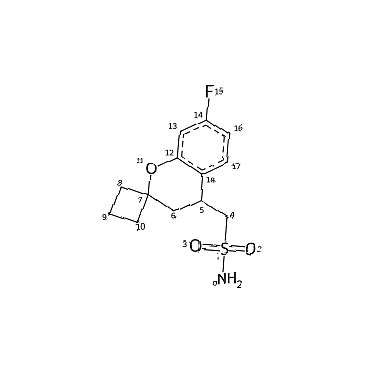 NS(=O)(=O)CC1CC2(CCC2)Oc2cc(F)ccc21